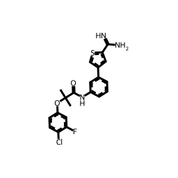 CC(C)(Oc1ccc(Cl)c(F)c1)C(=O)Nc1cccc(-c2csc(C(=N)N)c2)c1